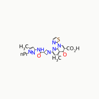 CCCn1nc(NC(=O)C2CN(c3cc(C)c4c(=O)c(C(=O)O)cn(-c5nccs5)c4n3)C2)cc1C